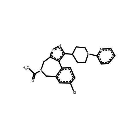 CC(=O)N1Cc2cc(Cl)ccc2-c2c(C3CCN(c4ccccn4)CC3)noc2C1